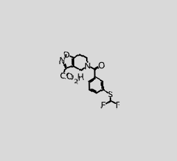 O=C(O)c1noc2c1CN(C(=O)c1cccc(SC(F)F)c1)CC2